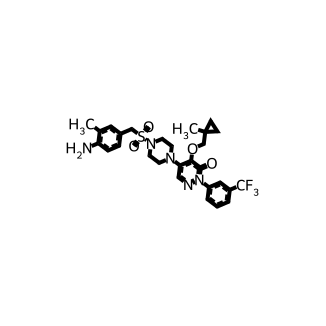 Cc1cc(CS(=O)(=O)N2CCN(c3cnn(-c4cccc(C(F)(F)F)c4)c(=O)c3OCC3(C)CC3)CC2)ccc1N